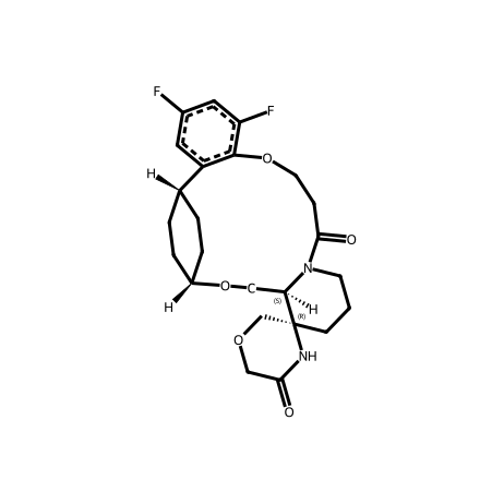 O=C1COC[C@]2(CCCN3C(=O)CCOc4c(F)cc(F)cc4[C@H]4CC[C@H](CC4)OC[C@@H]32)N1